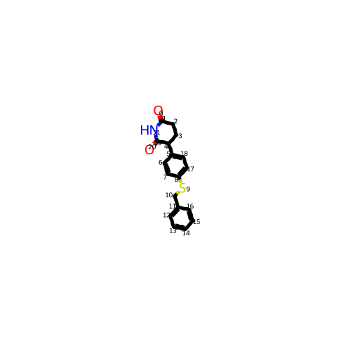 O=C1CCC(c2ccc(SCc3ccccc3)cc2)C(=O)N1